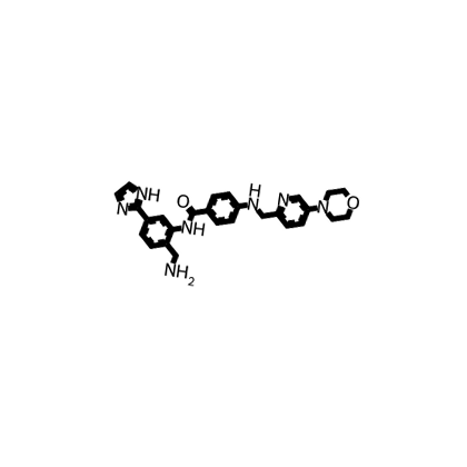 NCc1ccc(-c2ncc[nH]2)cc1NC(=O)c1ccc(NCc2ccc(N3CCOCC3)cn2)cc1